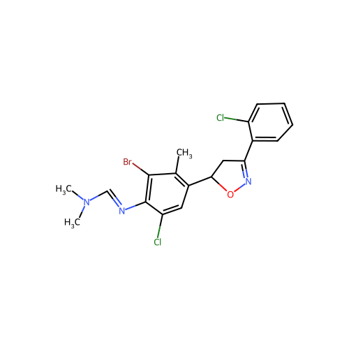 Cc1c(C2CC(c3ccccc3Cl)=NO2)cc(Cl)c(N=CN(C)C)c1Br